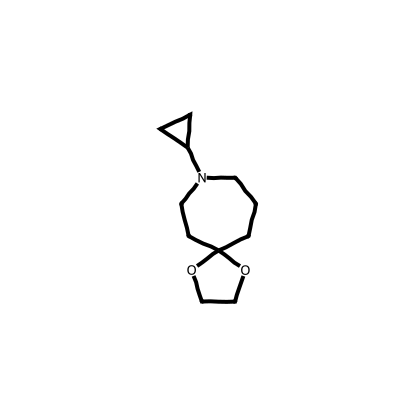 C1CN(C2CC2)CCC2(C1)OCCO2